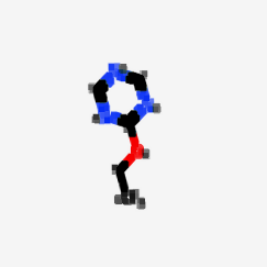 FC(F)(F)COc1ncncn1